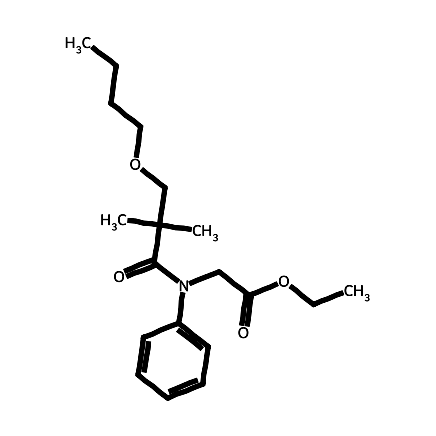 CCCCOCC(C)(C)C(=O)N(CC(=O)OCC)c1ccccc1